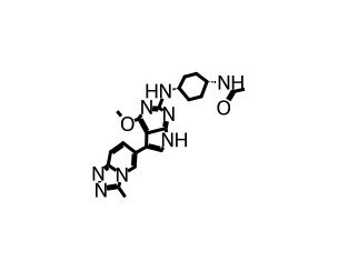 COc1nc(N[C@H]2CC[C@@H](NC(C)=O)CC2)nc2[nH]cc(-c3ccc4nnc(C)n4c3)c12